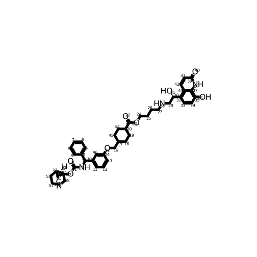 O=C(NC(c1ccccc1)c1cccc(OCC2CCC(C(=O)OCCCCNC[C@H](O)c3ccc(O)c4[nH]c(=O)ccc34)CC2)c1)O[C@H]1CN2CCC1CC2